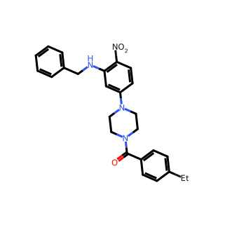 CCc1ccc(C(=O)N2CCN(c3ccc([N+](=O)[O-])c(NCc4ccccc4)c3)CC2)cc1